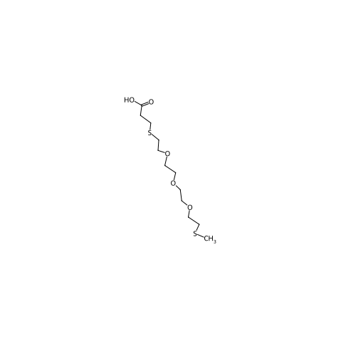 CSCCOCCOCCOCCSCCC(=O)O